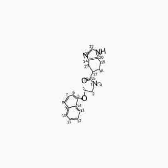 CN(CCOc1cccc2ccccc12)C(=O)C1CCc2[nH]cnc2C1